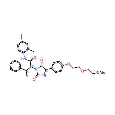 COCCOCCOc1ccc([C@H]2NC(=O)N([C@H](C(=O)Nc3ccc(I)cc3C)[C@@H](C)c3ccccc3)C2=O)cc1